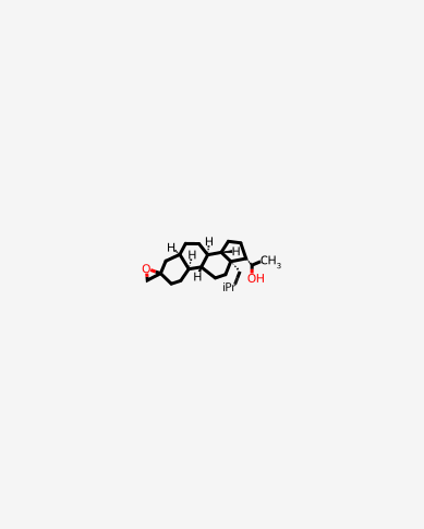 CC(C)C[C@]12CC[C@H]3[C@@H](CC[C@@H]4CC5(CC[C@@H]43)CO5)[C@@H]1CC[C@@H]2C(C)O